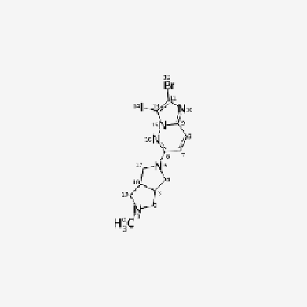 CN1CC2CN(c3ccc4nc(Br)c(I)n4n3)CC2C1